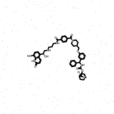 O=C(NC(c1ccccc1)c1cccc(OCC2CCN(C(=O)c3ccc(C(=O)NCCCNC[C@@H](O)c4ccc(O)c5[nH]c(=O)ccc45)cc3)CC2)c1)O[C@H]1CN2CCC1CC2